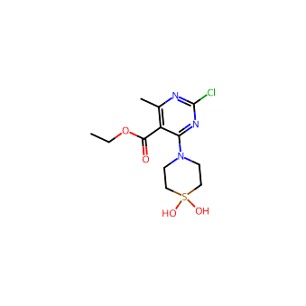 CCOC(=O)c1c(C)nc(Cl)nc1N1CCS(O)(O)CC1